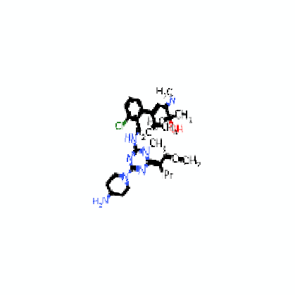 C=C=C/C(=C1/N=C(N2CCC(N)CC2)N=C(NCc2c(Cl)cccc2/C(=C/C(=N\C)C(C)(C)O)C(=C)C)N1C)C(C)C